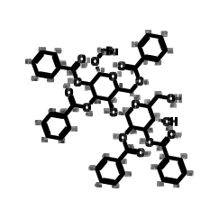 CCCCO[C@@H]1OC(COC(=O)c2ccccc2)[C@@H](O[C@@H]2OC(CO)[C@H](O)C(OC(=O)c3ccccc3)C2OC(=O)c2ccccc2)C(OC(=O)c2ccccc2)C1OC(=O)c1ccccc1